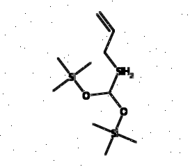 C=CC[SiH2]C(O[Si](C)(C)C)O[Si](C)(C)C